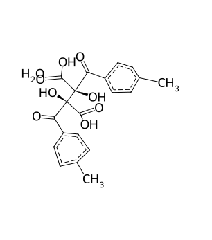 Cc1ccc(C(=O)[C@@](O)(C(=O)O)[C@](O)(C(=O)O)C(=O)c2ccc(C)cc2)cc1.O